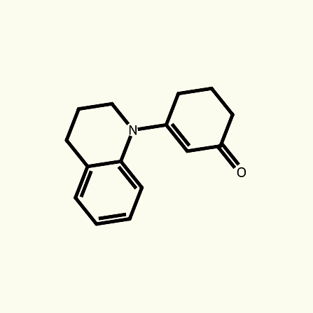 O=C1C=C(N2CCCc3ccccc32)CCC1